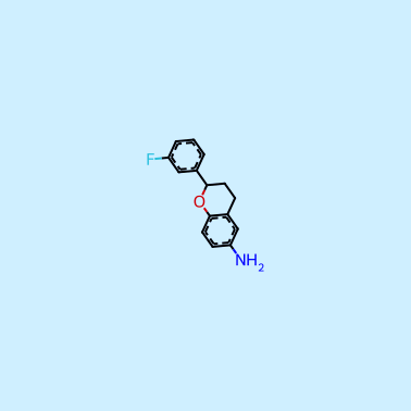 Nc1ccc2c(c1)CCC(c1cccc(F)c1)O2